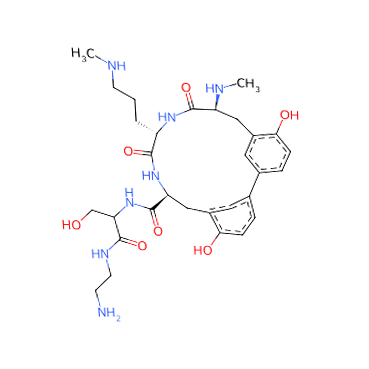 CNCCC[C@@H]1NC(=O)[C@@H](NC)Cc2cc(ccc2O)-c2ccc(O)c(c2)C[C@@H](C(=O)NC(CO)C(=O)NCCN)NC1=O